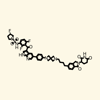 O=C1CCC(N2Cc3cc(CCCCN4CC5(C4)CN(c4ccc(-c6cnc7[nH]cc(C(=O)c8c(F)ccc(NS(=O)(=O)N9CC[C@@H](F)C9)c8F)c7c6)cc4)C5)ccc3C2=O)C(=O)N1